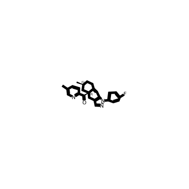 Cc1ccc(C(=O)[C@]23Cc4cnn(-c5ccc(F)cc5)c4C=C2CC[C@H](C)C3)nc1